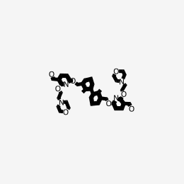 Cc1c(COc2ccc(C=O)c(OCCN3CCOCC3)n2)cccc1-c1cccc(COc2ccc(C=O)c(OCCN3CCOCC3)n2)c1C